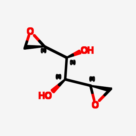 O[C@@H]([C@H](O)[C@H]1CO1)[C@H]1CO1